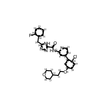 O=C(Nc1cc(-c2cc(OCCC3CCOCC3)ccc2Cl)ccn1)c1nnc(Cc2ccccc2F)[nH]1